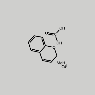 C1=Cc2ccccc2OC1.O=[Si](O)O.[Cu].[MgH2]